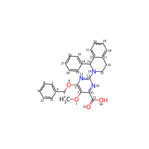 COc1c(OCc2ccccc2)nc(N2CCc3ccccc3C2c2ccccc2)nc1C(=O)O